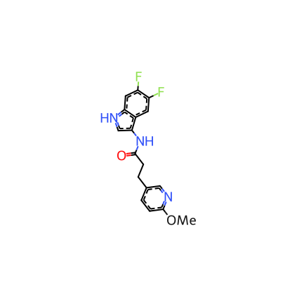 COc1ccc(CCC(=O)Nc2c[nH]c3cc(F)c(F)cc23)cn1